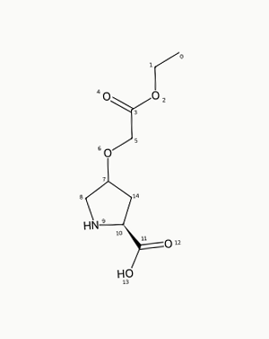 CCOC(=O)COC1CN[C@H](C(=O)O)C1